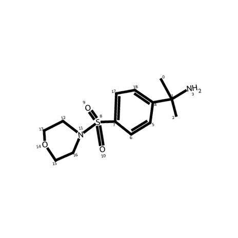 CC(C)(N)c1ccc(S(=O)(=O)N2CCOCC2)cc1